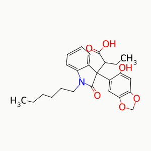 CCCCCCN1C(=O)C(c2cc3c(cc2O)OCO3)(C(CC)C(=O)O)c2ccccc21